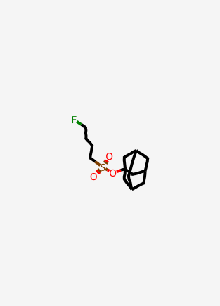 O=S(=O)(CCCCF)OC12CC3CC(CC(C3)C1)C2